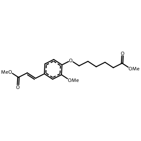 COC(=O)C=Cc1ccc(OCCCCCC(=O)OC)c(OC)c1